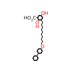 O=C(O)c1cc(O)cc(CCCCCCCCCCOc2ccc(-c3ccccc3)cc2)c1O